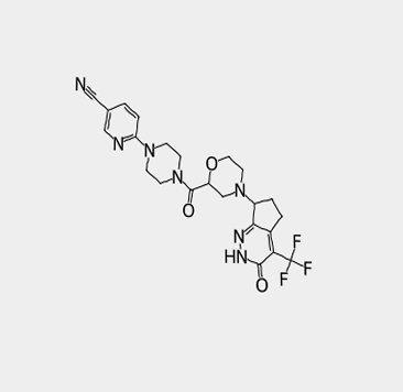 N#Cc1ccc(N2CCN(C(=O)C3CN(C4CCc5c4n[nH]c(=O)c5C(F)(F)F)CCO3)CC2)nc1